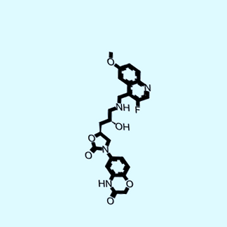 COc1ccc2ncc(F)c(CNC[C@H](O)C[C@H]3CN(c4ccc5c(c4)NC(=O)CO5)C(=O)O3)c2c1